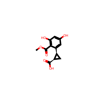 COC(=O)c1c(O)cc(O)cc1[C@H]1C[C@H]1C(=O)O